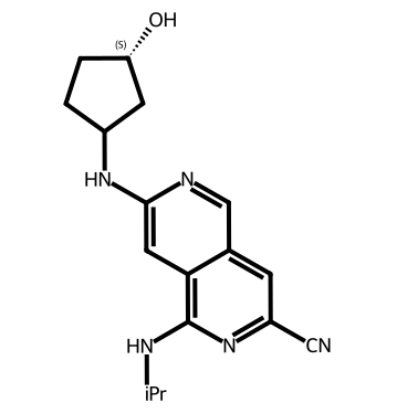 CC(C)Nc1nc(C#N)cc2cnc(NC3CC[C@H](O)C3)cc12